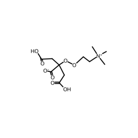 C[N+](C)(C)CCOOC(CC(=O)O)(CC(=O)O)C(=O)[O-]